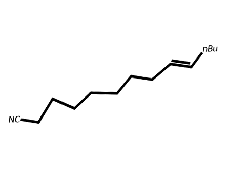 CCCC/C=C/CCCCCCCC#N